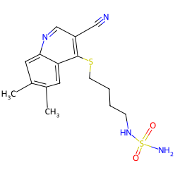 Cc1cc2ncc(C#N)c(SCCCCNS(N)(=O)=O)c2cc1C